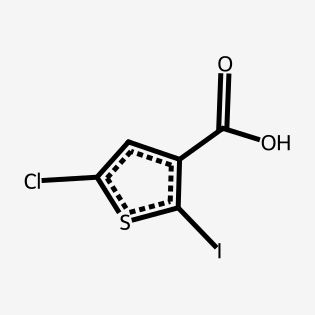 O=C(O)c1cc(Cl)sc1I